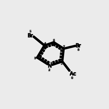 CC(=O)c1ncc(Br)cc1Br